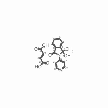 CC1(O)c2ccccc2C(=O)N1c1ccncc1.O=C(O)/C=C/C(=O)O